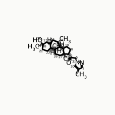 Cc1cnn(CC(=O)[C@H]2CC[C@H]3[C@@H]4[C@@H](C)C[C@H]5C[C@](C)(O)CC[C@]5(C)[C@H]4CC[C@]23C)c1